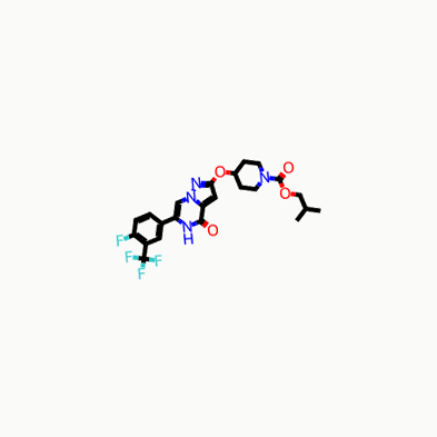 CC(C)COC(=O)N1CCC(Oc2cc3c(=O)[nH]c(-c4ccc(F)c(C(F)(F)F)c4)cn3n2)CC1